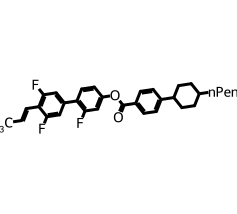 CCCCCC1CCC(c2ccc(C(=O)Oc3ccc(-c4cc(F)c(/C=C/C(F)(F)F)c(F)c4)c(F)c3)cc2)CC1